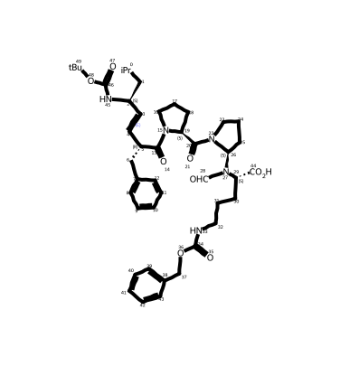 CC(C)C[C@@H](/C=C/[C@@H](Cc1ccccc1)C(=O)N1CCC[C@H]1C(=O)N1CCC[C@H]1N(C=O)[C@@H](CCCNC(=O)OCc1ccccc1)C(=O)O)NC(=O)OC(C)(C)C